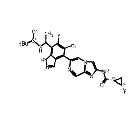 CC(N[S+]([O-])C(C)(C)C)c1c(F)c(Cl)c(-c2cn3cc(NC(=O)[C@@H]4C[C@@H]4F)nc3cn2)c2cn[nH]c12